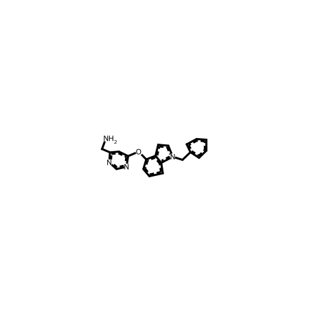 NCc1cc(Oc2cccc3c2ccn3Cc2ccccc2)ncn1